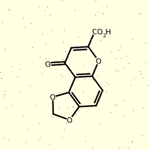 O=C(O)c1cc(=O)c2c3c(ccc2o1)OCO3